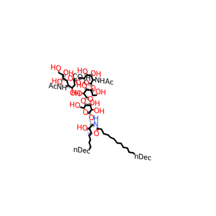 CCCCCCCCCCCCC/C=C/[C@@H](O)[C@H](CO[C@@H]1OC(CO)[C@@H](O[C@@H]2OC(CO)[C@H](O[C@@H]3OC(CO[C@]4(C(=O)O)CC(O)[C@@H](NC(C)=O)C([C@H](O)[C@H](O)CO)O4)[C@H](O)[C@H](O)C3NC(C)=O)[C@H](O)C2O)[C@H](O)C1O)NC(=O)CCCCCCCCCCCCCCCCCCCCC